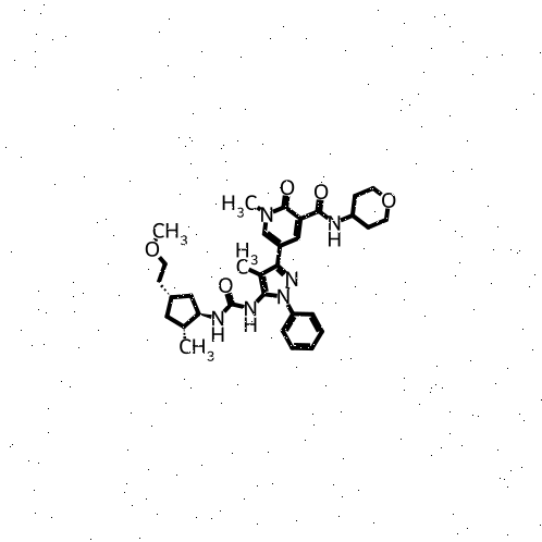 COCC[C@H]1C[C@@H](C)[C@H](NC(=O)Nc2c(C)c(-c3cc(C(=O)NC4CCOCC4)c(=O)n(C)c3)nn2-c2ccccc2)C1